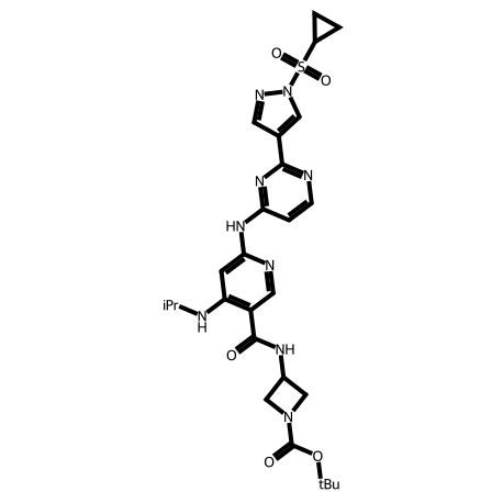 CC(C)Nc1cc(Nc2ccnc(-c3cnn(S(=O)(=O)C4CC4)c3)n2)ncc1C(=O)NC1CN(C(=O)OC(C)(C)C)C1